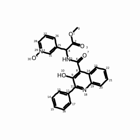 COC(=O)C(NC(=O)c1c(O)c(-c2ccccc2)nc2ccccc12)c1ccc[n+]([O-])c1